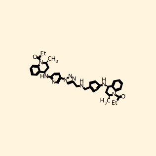 CCC(=O)N1c2ccccc2[C@H](Nc2ccc(CNCc3cn(-c4ccc(N[C@@H]5C[C@H](C)N(C(=O)CC)c6ccccc65)nc4)nn3)cc2)C[C@@H]1C